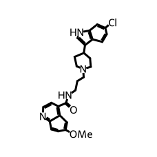 COc1ccc2nccc(C(=O)NCCCN3CCC(c4c[nH]c5cc(Cl)ccc45)CC3)c2c1